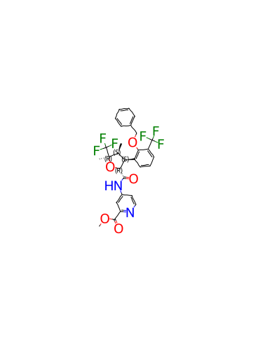 COC(=O)c1cc(NC(=O)[C@@H]2O[C@@](C)(C(F)(F)F)[C@@H](C)[C@H]2c2cccc(C(F)(F)F)c2OCc2ccccc2)ccn1